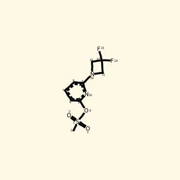 CS(=O)(=O)Oc1cccc(N2CC(F)(F)C2)n1